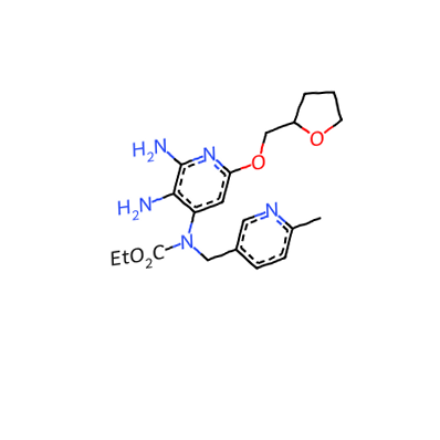 CCOC(=O)N(Cc1ccc(C)nc1)c1cc(OCC2CCCO2)nc(N)c1N